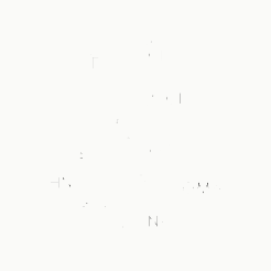 COc1ncc2c3c1Oc1c(cc(F)c(O)c1O)C3CNC2